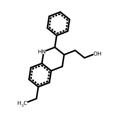 CCc1ccc2c(c1)CC(CCO)C(c1ccccc1)N2